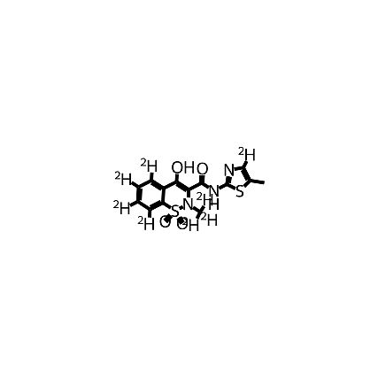 [2H]c1nc(NC(=O)C2=C(O)c3c([2H])c([2H])c([2H])c([2H])c3S(=O)(=O)N2C([2H])([2H])[2H])sc1C